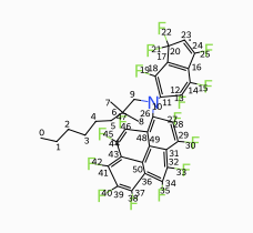 CCCCCCC(C)(C)CN(c1c(F)c(F)c2c(c1F)C(F)(F)[C]=C2F)c1c(F)c(F)c2c(F)c(F)c3c(F)c(F)c(F)c4c(F)c(F)c1c2c34